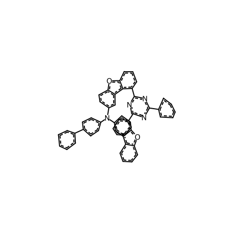 c1ccc(-c2ccc(N(c3ccc4oc5ccccc5c4c3)c3ccc4oc5cccc(-c6nc(-c7ccccc7)nc(-c7ccccc7)n6)c5c4c3)cc2)cc1